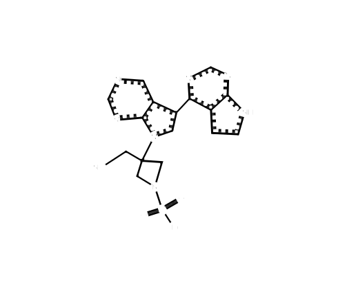 CCS(=O)(=O)N1CC(CC#N)(n2cc(-c3ncnc4[nH]ccc34)c3cncnc32)C1